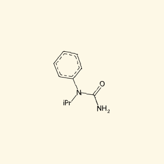 CC(C)N(C(N)=O)c1ccccc1